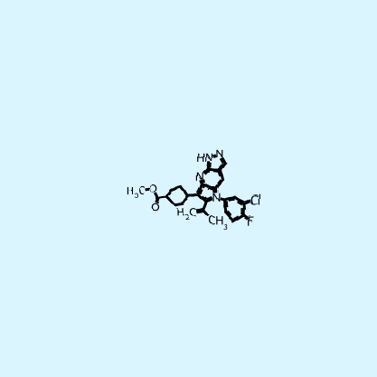 C=C(C)c1c(C2CCC(C(=O)OC)CC2)c2nc3[nH]ncc3cc2n1-c1ccc(F)c(Cl)c1